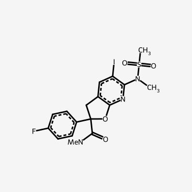 CNC(=O)C1(c2ccc(F)cc2)Cc2cc(I)c(N(C)S(C)(=O)=O)nc2O1